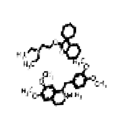 CCN(CC)CCOC(=O)C1(C2CCCCC2)CCCCC1.COc1ccc(CC2c3cc(OC)c(OC)cc3CCN2C)cc1OC